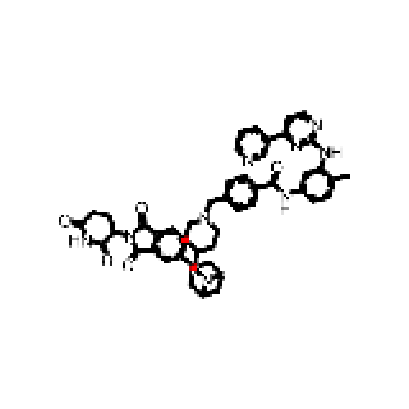 Cc1ccc(NC(=O)c2ccc(CN3CCC(CN4C5CC4CN(c4ccc6c(c4)C(=O)N(C4CCC(=O)NC4=O)C6=O)C5)CC3)cc2)cc1Nc1nccc(-c2cccnc2)n1